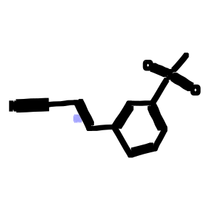 CS(=O)(=O)c1cccc(/C=C/C#N)c1